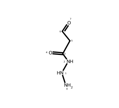 NNNC(=O)CC=O